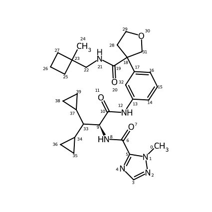 Cn1ncnc1C(=O)N[C@H](C(=O)Nc1cccc(C2(C(=O)NCC3(C)CCC3)CCOC2)c1)C(C1CC1)C1CC1